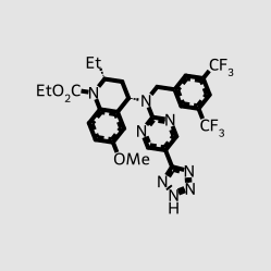 CCOC(=O)N1c2ccc(OC)cc2[C@@H](N(Cc2cc(C(F)(F)F)cc(C(F)(F)F)c2)c2ncc(-c3nn[nH]n3)cn2)C[C@H]1CC